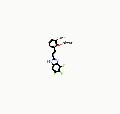 CCCCCOc1c(/C=C/c2nc3c(F)c(F)c(F)cc3[nH]2)cccc1OC